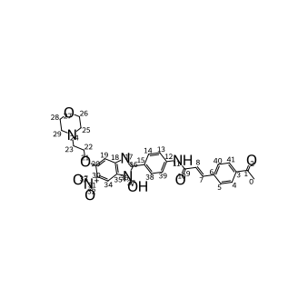 CC(=O)c1ccc(/C=C/C(=O)Nc2ccc(-c3nc4cc(OCCN5CCOCC5)c([N+](=O)[O-])cc4n3O)cc2)cc1